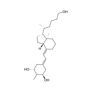 CC1[C@H](O)CC(=C/C=C2\CCC[C@]3(C)[C@@H]([C@H](C)CCCCO)CC[C@@H]23)C[C@H]1O